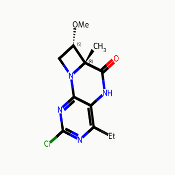 CCc1nc(Cl)nc2c1NC(=O)[C@@]1(C)[C@@H](OC)CN21